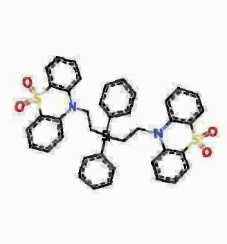 O=S1(=O)c2ccccc2N(CC[Si](CCN2c3ccccc3S(=O)(=O)c3ccccc32)(c2ccccc2)c2ccccc2)c2ccccc21